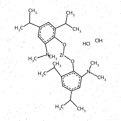 CC(C)c1cc(C(C)C)c([O][Zr][O]c2c(C(C)C)cc(C(C)C)cc2N(C)C)c(N(C)C)c1.Cl.Cl